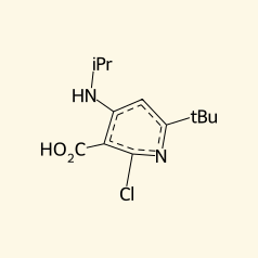 CC(C)Nc1cc(C(C)(C)C)nc(Cl)c1C(=O)O